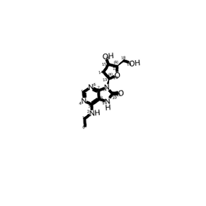 CCNc1ncnc2c1[nH]c(=O)n2[C@H]1CC(O)[C@@H](CO)O1